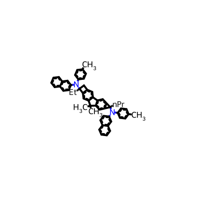 CCCC1(N(c2ccc(C)cc2)c2ccc3ccccc3c2)c2cc3c(cc21)C(C)(C)c1cc2c(cc1-3)CC2(CC)N(c1ccc(C)cc1)c1ccc2ccccc2c1